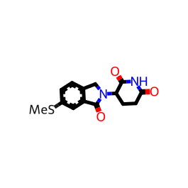 CSc1ccc2c(c1)C(=O)N(C1CCC(=O)NC1=O)C2